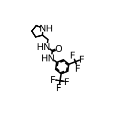 O=C(NCC1CCCN1)Nc1cc(C(F)(F)F)cc(C(F)(F)F)c1